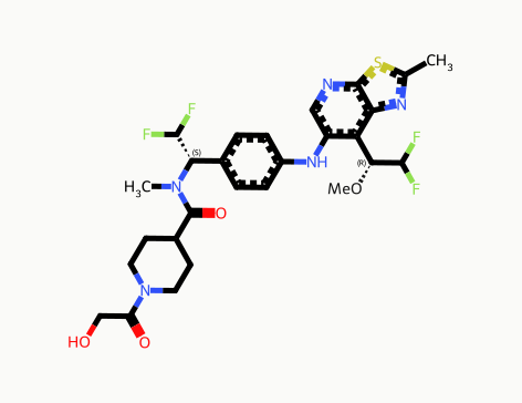 CO[C@H](c1c(Nc2ccc([C@@H](C(F)F)N(C)C(=O)C3CCN(C(=O)CO)CC3)cc2)cnc2sc(C)nc12)C(F)F